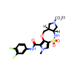 CCOC(=O)N1C[C@H]2COc3c(cn(C)c3C(=O)Nc3ccc(F)c(F)c3)S(=O)(=O)N[C@H]2C1